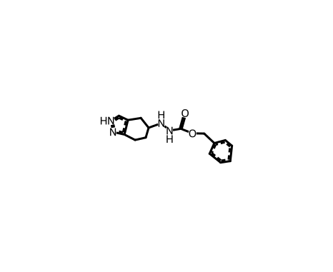 O=C(NNC1CCc2n[nH]cc2C1)OCc1ccccc1